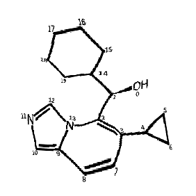 O[C@@H](c1c(C2CC2)ccc2cncn12)C1CCCCC1